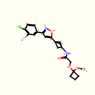 O=C(COC1(OC(F)(F)F)CCC1)NC12CC(c3cc(-c4ccc(Cl)c(F)c4)no3)(C1)C2